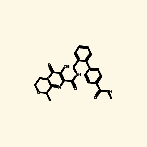 CNC(=O)c1ccc(-c2ccccc2CNC(=O)c2nc3n(c(=O)c2O)CCOC3C)cc1